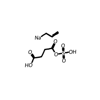 C=C[CH2][Na].O=C(O)CCC(=O)OS(=O)(=O)O